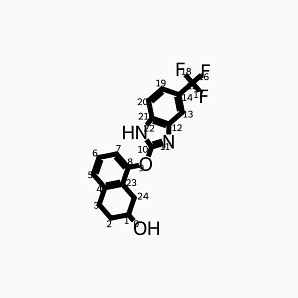 OC1CCc2cccc(Oc3nc4cc(C(F)(F)F)ccc4[nH]3)c2C1